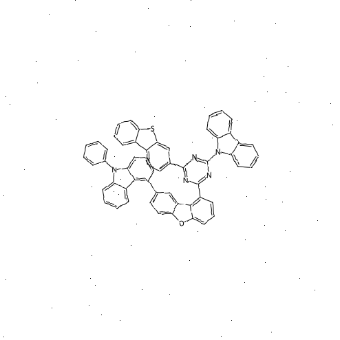 c1ccc(-n2c3ccccc3c3c(-c4ccc5oc6cccc(-c7nc(-c8ccc9c(c8)sc8ccccc89)nc(-n8c9ccccc9c9ccccc98)n7)c6c5c4)cccc32)cc1